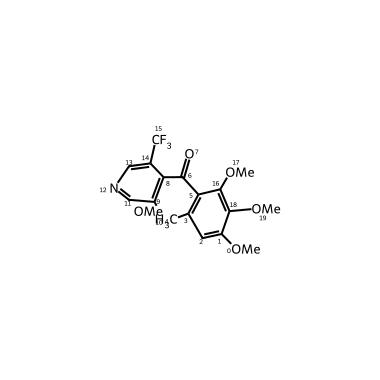 COc1cc(C)c(C(=O)c2c(OC)cncc2C(F)(F)F)c(OC)c1OC